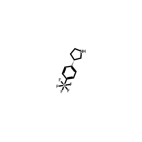 FS(F)(F)(F)(F)c1ccc([C@@H]2CCNC2)cc1